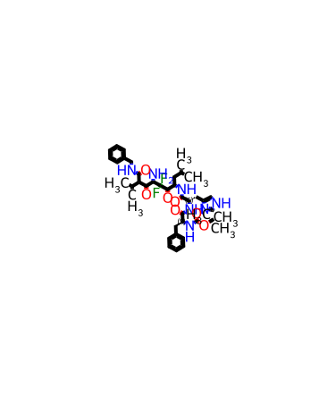 CC(C)CC(NC(=O)[C@H](Cc1c[nH]cn1)NC(=O)[C@H](Cc1ccccc1)NC(=O)OC(C)(C)C)C(=O)C(F)(F)C(N)C(=O)C(C(=O)NCc1ccccc1)C(C)C